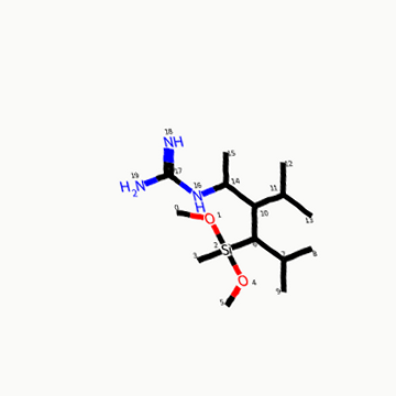 CO[Si](C)(OC)C(C(C)C)C(C(C)C)C(C)NC(=N)N